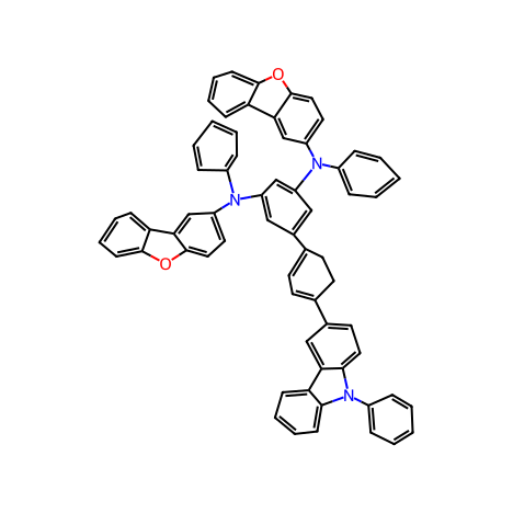 C1=C(c2cc(N(c3ccccc3)c3ccc4oc5ccccc5c4c3)cc(N(c3ccccc3)c3ccc4oc5ccccc5c4c3)c2)CCC(c2ccc3c(c2)c2ccccc2n3-c2ccccc2)=C1